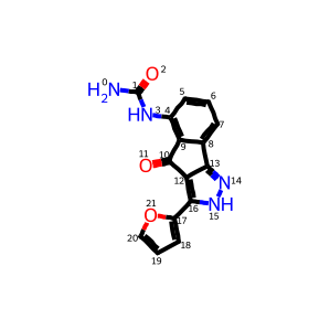 NC(=O)Nc1cccc2c1C(=O)c1c-2n[nH]c1-c1ccco1